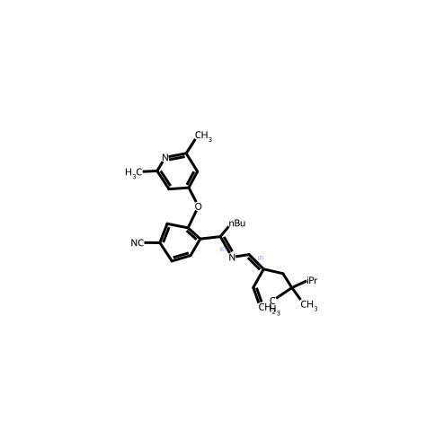 C=C/C(=C\N=C(/CCCC)c1ccc(C#N)cc1Oc1cc(C)nc(C)c1)CC(C)(C)C(C)C